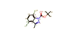 Cc1nn(C(=O)OC(C)(C)C)c2c(F)ccc(F)c12